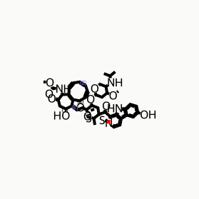 COC(=O)NC1C(=O)C[C@H](O)/C(=C/CS(C)=S)C2=C1C#C/C=C\C#C[C@@H]2OC1OC(C)C(SC)(C(=O)c2nccc3c2[nH]c2ccc(O)cc23)CC1OC1CC(OC)C(NC(C)C)CO1